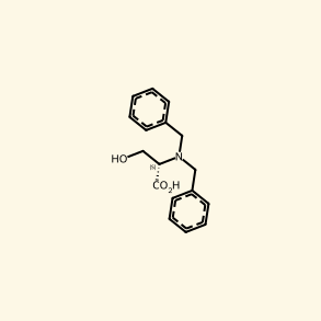 O=C(O)[C@H](CO)N(Cc1ccccc1)Cc1ccccc1